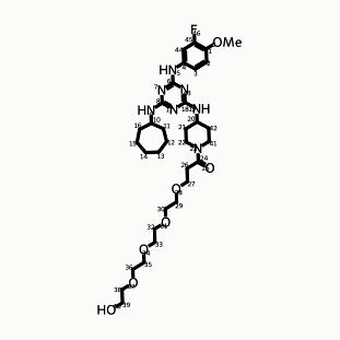 COc1ccc(Nc2nc(NC3CCCCCC3)nc(NC3CCN(C(=O)CCOCCOCCOCCOCCO)CC3)n2)cc1F